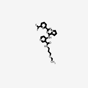 CCOCCCNC(=O)c1cnccc1Nc1nc(-c2cccc(C(F)F)n2)nn2cccc12